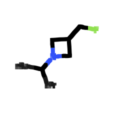 CCCCC(CCC)N1CC(CF)C1